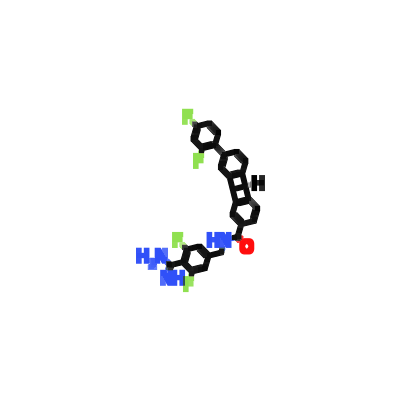 N=C(N)c1c(F)cc(CNC(=O)c2ccc3c(c2)C2c4cc(-c5ccc(F)cc5F)ccc4[C@@H]32)cc1F